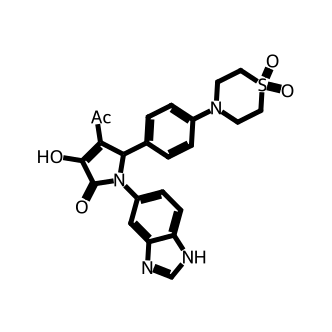 CC(=O)C1=C(O)C(=O)N(c2ccc3[nH]cnc3c2)C1c1ccc(N2CCS(=O)(=O)CC2)cc1